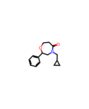 O=C1CCOC(c2ccccc2)CN1CC1CC1